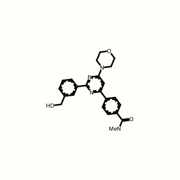 CNC(=O)c1ccc(-c2cc(N3CCOCC3)nc(-c3cccc(CO)c3)n2)cc1